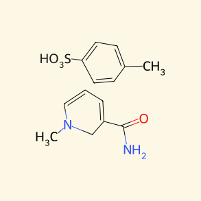 CN1C=CC=C(C(N)=O)C1.Cc1ccc(S(=O)(=O)O)cc1